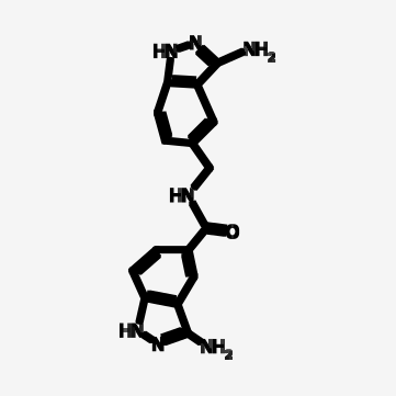 Nc1n[nH]c2ccc(CNC(=O)c3ccc4[nH]nc(N)c4c3)cc12